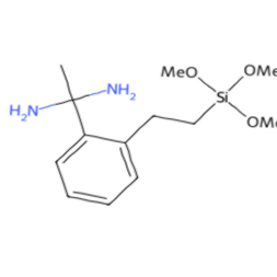 CO[Si](CCc1ccccc1C(C)(N)N)(OC)OC